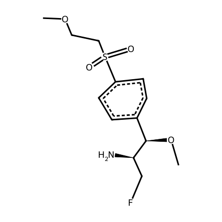 COCCS(=O)(=O)c1ccc([C@@H](OC)[C@H](N)CF)cc1